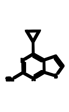 CC(C)(C)c1nc(C2CC2)c2ccsc2n1